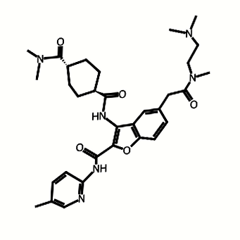 Cc1ccc(NC(=O)c2oc3ccc(CC(=O)N(C)CCN(C)C)cc3c2NC(=O)[C@H]2CC[C@H](C(=O)N(C)C)CC2)nc1